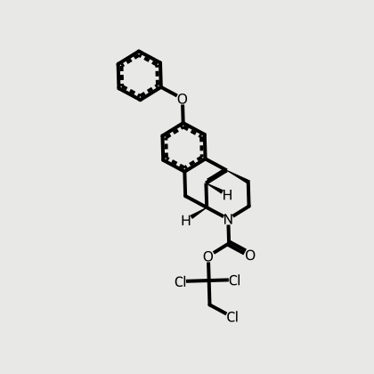 O=C(OC(Cl)(Cl)CCl)N1CC[C@]23CCCC[C@H]2[C@H]1Cc1ccc(Oc2ccccc2)cc13